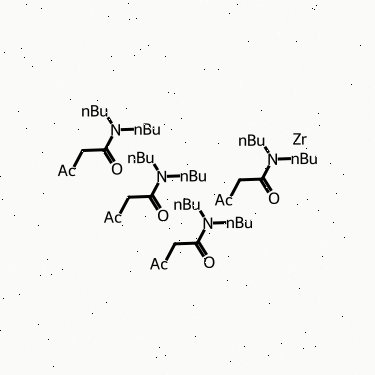 CCCCN(CCCC)C(=O)CC(C)=O.CCCCN(CCCC)C(=O)CC(C)=O.CCCCN(CCCC)C(=O)CC(C)=O.CCCCN(CCCC)C(=O)CC(C)=O.[Zr]